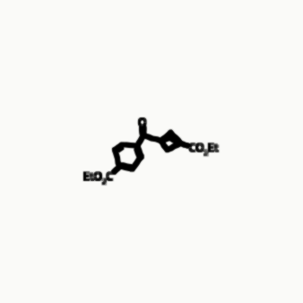 CCOC(=O)c1ccc(C(=O)C23CC(C(=O)OCC)(C2)C3)cc1